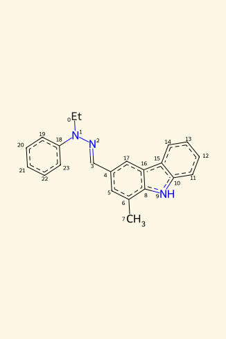 CCN(N=Cc1cc(C)c2[nH]c3ccccc3c2c1)c1ccccc1